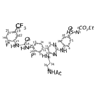 CCOC(=O)N=[SH](=O)c1ccc(Nc2ncc(-c3ccc(NC(=O)Nc4cc(C(F)(F)F)ccc4F)c(F)c3)c(NCCNC(C)=O)n2)cc1